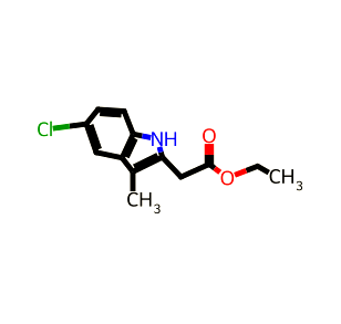 CCOC(=O)Cc1[nH]c2ccc(Cl)cc2c1C